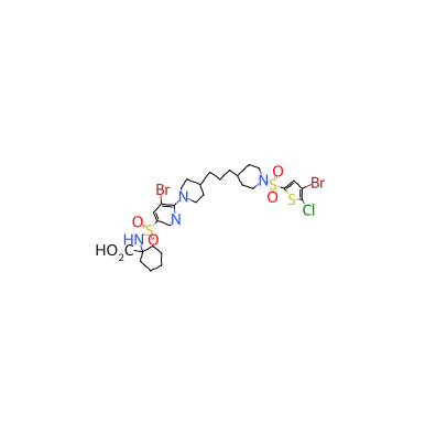 O=C(O)C1(NS(=O)(=O)c2cnc(N3CCC(CCCC4CCN(S(=O)(=O)c5cc(Br)c(Cl)s5)CC4)CC3)c(Br)c2)CCCCC1